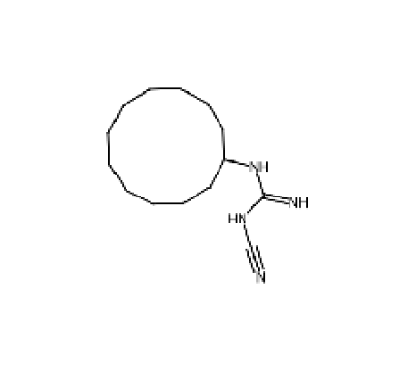 N#CNC(=N)NC1CCCCCCCCCCC1